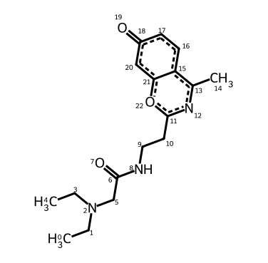 CCN(CC)CC(=O)NCCc1nc(C)c2ccc(=O)cc-2o1